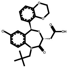 CC(C)(C)CN1C(=O)[C@@H](CC(=O)O)S[C@H](c2cccc3c2OCCO3)c2cc(Cl)ccc21